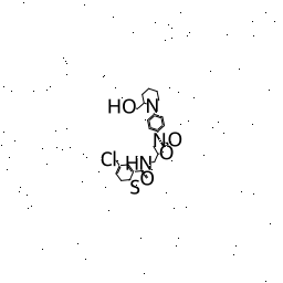 O=C(NCC1CN(c2ccc(N3CCCCC3CO)cc2)C(=O)O1)C1=CC(Cl)=CCC1=S